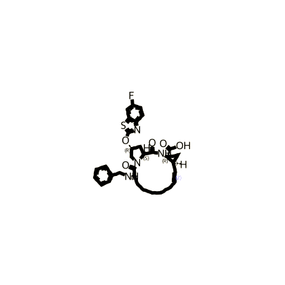 O=C1N[C@]2(C(=O)O)C[C@H]2/C=C\CCCCC[C@H](NCc2ccccc2)C(=O)N2C[C@H](Oc3nc4ccc(F)cc4s3)C[C@@H]12